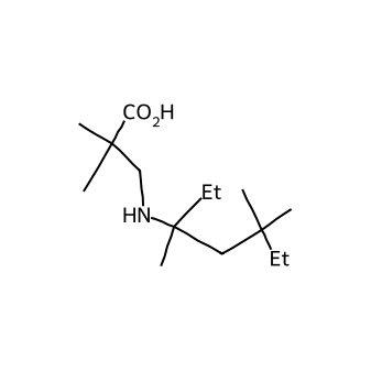 CCC(C)(C)CC(C)(CC)NCC(C)(C)C(=O)O